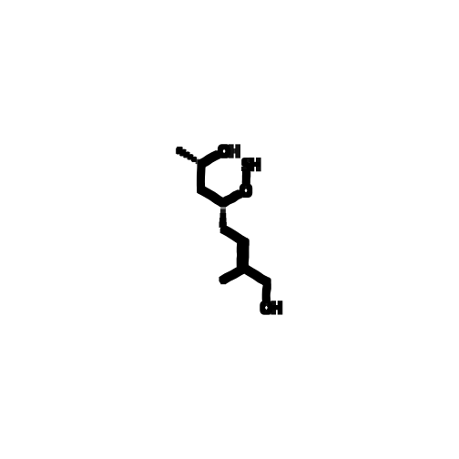 C/C(=C\C[C@H](C[C@H](C)O)OS)CO